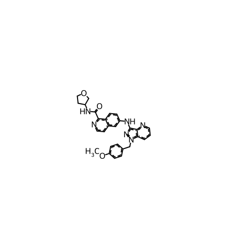 COc1ccc(Cn2nc(Nc3ccc4c(C(=O)NC5CCOC5)nccc4c3)c3ncccc32)cc1